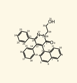 O=c1c(-c2cccc3ccccc23)c(-c2ccccc2)c(-c2ccccc2)nn1CCO